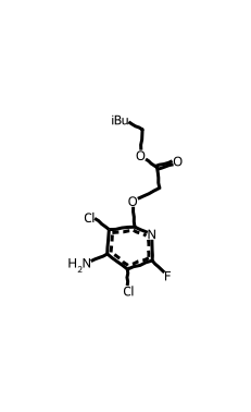 CCC(C)COC(=O)COc1nc(F)c(Cl)c(N)c1Cl